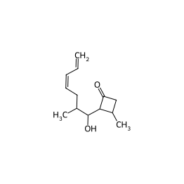 C=C/C=C\CC(C)C(O)C1C(=O)CC1C